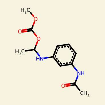 COC(=O)OC(C)Nc1cccc(NC(C)=O)c1